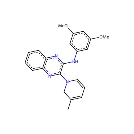 COc1cc(Nc2nc3ccccc3nc2N2C=CC=C(C)C2)cc(OC)c1